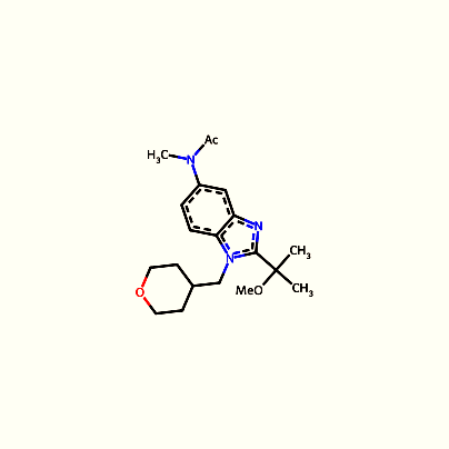 COC(C)(C)c1nc2cc(N(C)C(C)=O)ccc2n1CC1CCOCC1